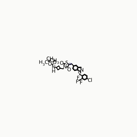 CC(C)(C)OC(=O)NC1CC(CN2C(=O)S/C(=C/c3ccc4c(cnn4Cc4ccc(Cl)cc4C(F)(F)F)c3)C2=O)C1